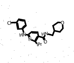 CC(C)c1nc(Nc2cccc(Cl)c2)ccc1C(=O)NCC1CCOCC1